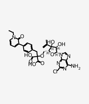 C=C(C)[C@@]1(O)[C@@H](COC(Cc2ccc(-c3cccn(CC)c3=O)cc2)(C(=O)O)C(=O)O)O[C@@H](n2cnc3c(N)nc(Cl)nc32)[C@@H]1O